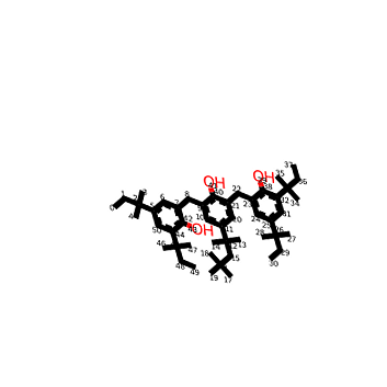 CCC(C)(C)c1cc(Cc2cc(C(C)(C)CC(C)(C)C)cc(Cc3cc(C(C)(C)CC)cc(C(C)(C)CC)c3O)c2O)c(O)c(C(C)(C)CC)c1